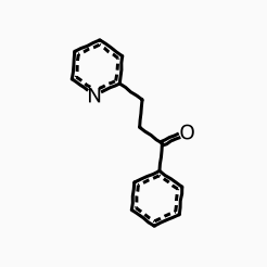 O=C(CCc1ccccn1)c1ccccc1